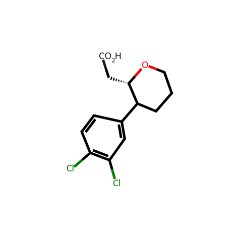 O=C(O)C[C@@H]1OCCCC1c1ccc(Cl)c(Cl)c1